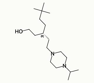 CC(C)N1CCN(CC[C@H](CCO)CCC(C)(C)C)CC1